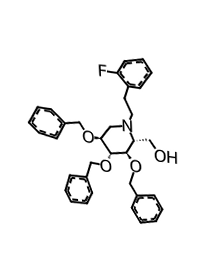 OC[C@@H]1[C@@H](OCc2ccccc2)[C@H](OCc2ccccc2)[C@@H](OCc2ccccc2)CN1CCc1ccccc1F